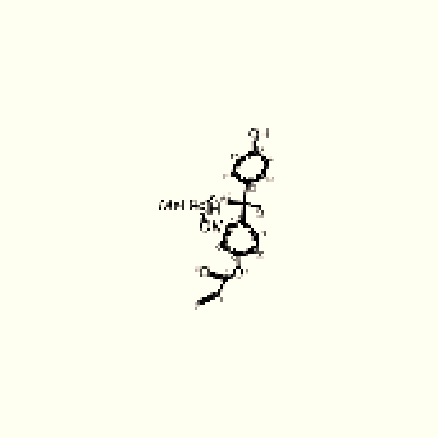 C=CC(=O)Oc1ccc(C(C)(C)c2ccc(O)cc2)cc1.CO[SiH](C)OC